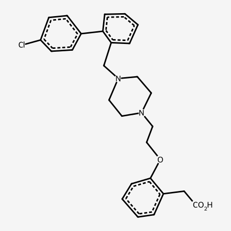 O=C(O)Cc1ccccc1OCCN1CCN(Cc2ccccc2-c2ccc(Cl)cc2)CC1